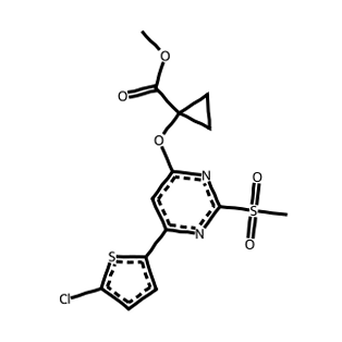 COC(=O)C1(Oc2cc(-c3ccc(Cl)s3)nc(S(C)(=O)=O)n2)CC1